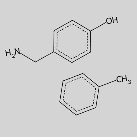 Cc1ccccc1.NCc1ccc(O)cc1